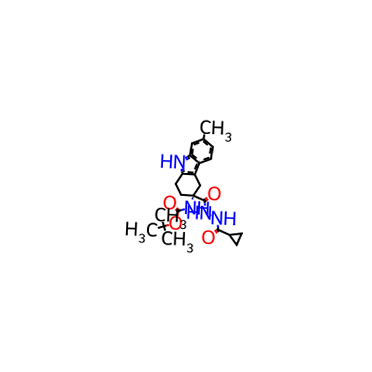 Cc1ccc2c3c([nH]c2c1)CC[C@](NC(=O)OC(C)(C)C)(C(=O)NNC(=O)C1CC1)C3